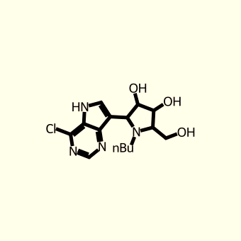 CCCCN1C(CO)C(O)C(O)C1c1c[nH]c2c(Cl)ncnc12